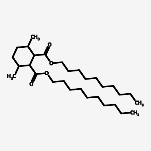 CCCCCCCCCCOC(=O)C1C(C)CCC(C)C1C(=O)OCCCCCCCCCC